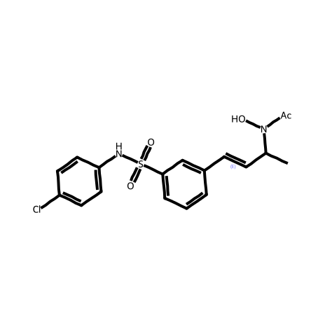 CC(=O)N(O)C(C)/C=C/c1cccc(S(=O)(=O)Nc2ccc(Cl)cc2)c1